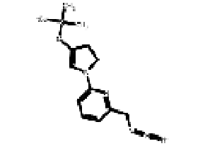 CC(C)(C)[Si](C)(C)OC1=CN(c2cccc(CN=[N+]=[N-])n2)CC1